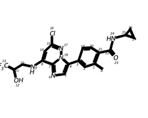 Cc1cc(-c2cnc3c(NCC(O)C(F)(F)F)cc(Cl)nn23)ccc1C(=O)NC1CC1